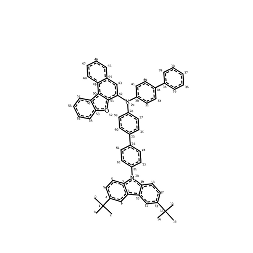 CC(C)(C)c1ccc2c(c1)c1cc(C(C)(C)C)ccc1n2-c1ccc(-c2ccc(N(c3ccc(-c4ccccc4)cc3)c3cc4ccccc4c4c3oc3ccccc34)cc2)cc1